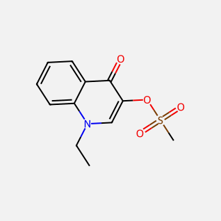 CCn1cc(OS(C)(=O)=O)c(=O)c2ccccc21